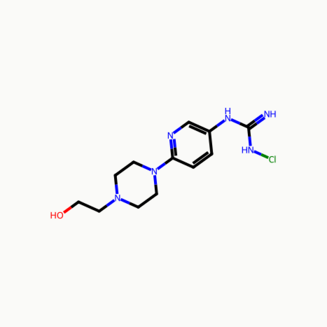 N=C(NCl)Nc1ccc(N2CCN(CCO)CC2)nc1